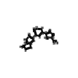 Cn1[c]cc2cc(-c3cc(-c4noc(C(F)(F)F)n4)ccn3)nc[n+]21